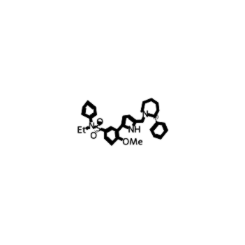 CCN(c1ccccc1)S(=O)(=O)c1ccc(OC)c(-c2ccc(CN3CCCCC[C@@H]3c3ccccc3)[nH]2)c1